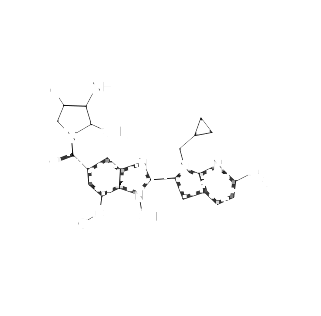 COc1ccc2cc(-c3nc4cc(C(=O)N5CC(C)C(N)C5C)cc(OC)c4n3C)n(CC3CC3)c2n1